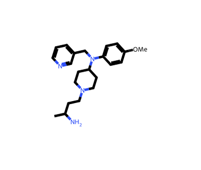 COc1ccc(N(Cc2cccnc2)C2CCN(CCC(C)N)CC2)cc1